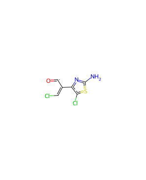 Nc1nc(C([C]=O)=CCl)c(Cl)s1